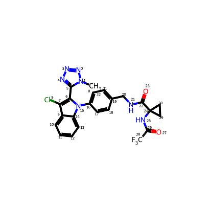 Cn1nnnc1-c1c(Cl)c2ccccc2n1-c1ccc(CNC(=O)C2(NC(=O)C(F)(F)F)CC2)cc1